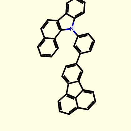 c1cc(-c2ccc3c(c2)-c2cccc4cccc-3c24)cc(-n2c3ccccc3c3ccc4ccccc4c32)c1